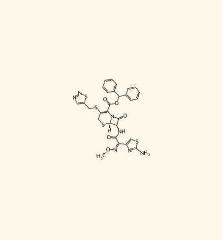 CO/N=C(\C(=O)N[C@@H]1C(=O)N2C(C(=O)OC(c3ccccc3)c3ccccc3)=C(SCc3cnns3)CS[C@@H]12)c1csc(N)n1